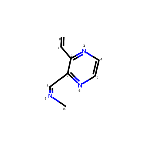 C=Cc1nccnc1/C=N\C